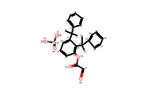 CC(C)(c1ccccc1)c1cccc(OC(=O)C=O)c1C(C)(C)c1ccccc1.[O]=[Ti]([OH])[OH]